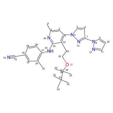 Cc1cc(-n2ccc(-n3cccn3)n2)c(CCO[Si](C)(C)C(C)(C)C)c(Nc2ccc(C#N)cc2C)n1